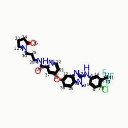 Cn1c(Nc2ccc(Cl)c(C(F)(F)F)c2)nc2cc(Oc3ccnc(C(=O)NCCCN4CCCC4=O)c3)ccc21